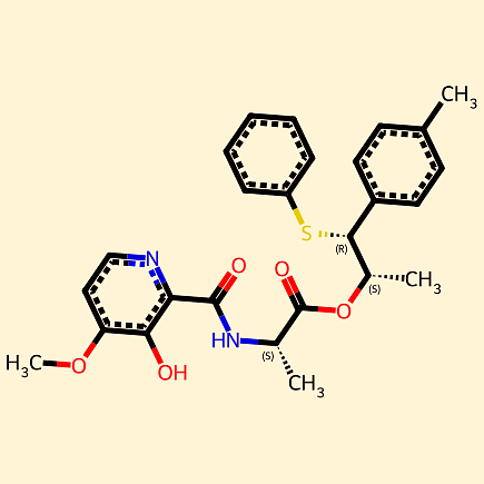 COc1ccnc(C(=O)N[C@@H](C)C(=O)O[C@@H](C)[C@H](Sc2ccccc2)c2ccc(C)cc2)c1O